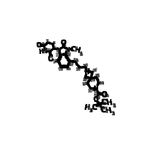 Cn1c(=O)n(C2CCC(=O)NC2=O)c2cccc(CCCN3CC4(CCN(C(=O)OC(C)(C)C)CC4)C3)c21